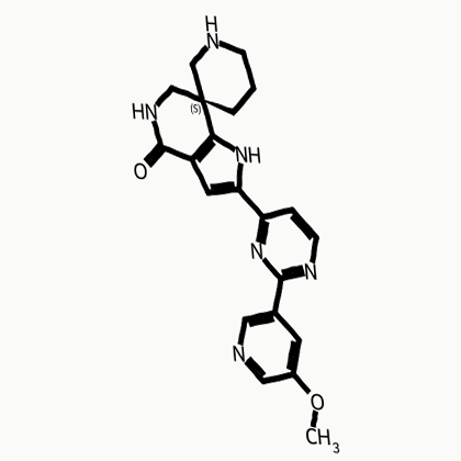 COc1cncc(-c2nccc(-c3cc4c([nH]3)[C@]3(CCCNC3)CNC4=O)n2)c1